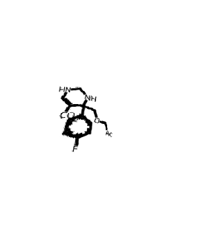 CCOC(=O)C1=CNCNC1(COCC(C)=O)c1ccc(F)cc1